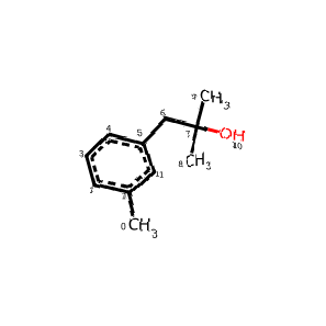 Cc1cccc(CC(C)(C)O)c1